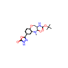 CN1C(=O)C(NC(=O)OC(C)(C)C)COc2ccc(-c3n[nH]c(=O)o3)cc21